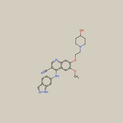 COc1cc2c(Nc3ccc4cn[nH]c4c3)c(C#N)cnc2cc1OCCN1CCC(O)CC1